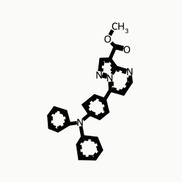 COC(=O)c1cnn2c(-c3ccc(N(c4ccccc4)c4ccccc4)cc3)ccnc12